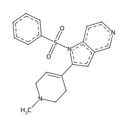 CN1CC=C(c2cc3cnccc3n2S(=O)(=O)c2ccccc2)CC1